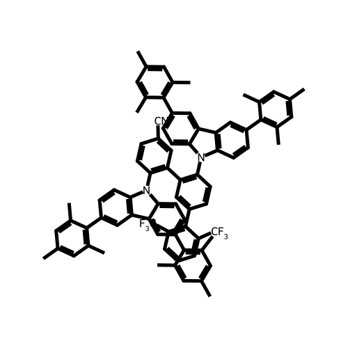 Cc1cc(C)c(-c2ccc3c(c2)c2cc(-c4c(C)cc(C)cc4C)ccc2n3-c2ccc(C#N)cc2-c2cc(-c3c(C(F)(F)F)cccc3C(F)(F)F)ccc2-n2c3ccc(-c4c(C)cc(C)cc4C)cc3c3cc(-c4c(C)cc(C)cc4C)ccc32)c(C)c1